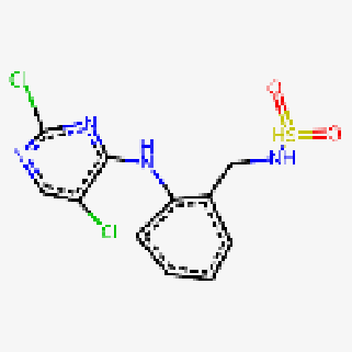 O=[SH](=O)NCc1ccccc1Nc1nc(Cl)ncc1Cl